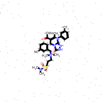 COC(=O)C1=C(C)N(c2cccc(C(F)(F)F)c2)c2n[nH]c(=O)n2[C@@H]1c1ccc(C#N)cc1C[N+](C)(C)CCCS(=O)(=O)N(C)C